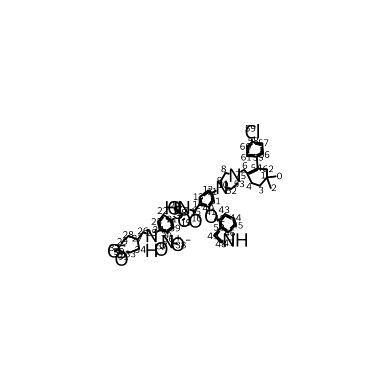 CC1(C)CCC(CN2CCN(c3ccc(C(=O)NS(=O)(=O)c4ccc(NCC5CCS(=O)(=O)CC5)c([N+](=O)[O-])c4)c(Oc4cccc5[nH]ccc45)c3)CC2)=C(c2ccc(Cl)cc2)C1